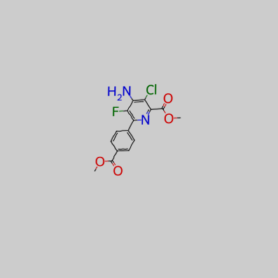 COC(=O)c1ccc(-c2nc(C(=O)OC)c(Cl)c(N)c2F)cc1